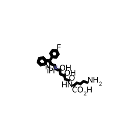 CC(C)n1c(/C=C/[C@H](O)C[C@H](O)CC(=O)NC(CCCCN)C(=O)O)c(-c2ccc(F)cc2)c2ccccc21